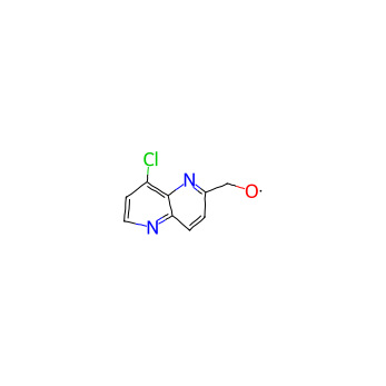 [O]Cc1ccc2nccc(Cl)c2n1